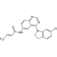 O=C(/C=C/C(F)(F)F)Nc1ccc2ncnc(N3CCc4ccc(Cl)cc43)c2c1